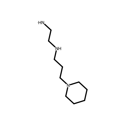 [NH]CCNCCCN1CCCCC1